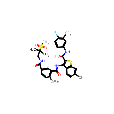 COc1ccc(C(=O)NCC(C)(C)S(C)(=O)=O)cc1C(=O)Nc1c(C(O)Nc2ccc(F)c(C(F)(F)F)c2)sc2cc(C(F)(F)F)ccc12